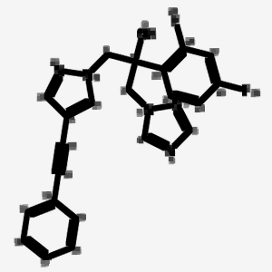 OC(Cn1cncn1)(Cn1cc(C#Cc2cc[c]cc2)cn1)c1ccc(F)cc1F